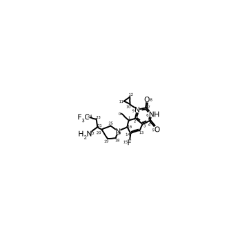 CC1c2c(c(=O)[nH]c(=O)n2C2CC2)C=C(F)C1N1CCC(C(N)CC(F)(F)F)C1